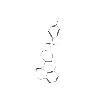 Cc1cccc2c1N(C1CCN(S(=O)(=O)c3ccc(F)cc3)CC1)COC2